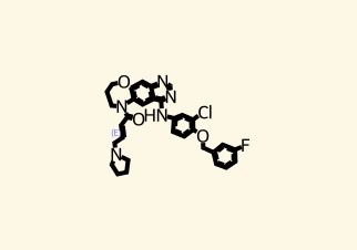 O=C(/C=C/CN1CCCC1)N1CCCOc2cc3ncnc(Nc4ccc(OCc5cccc(F)c5)c(Cl)c4)c3cc21